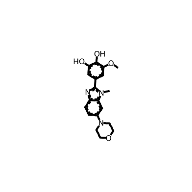 COc1cc(-c2nc3ccc(N4CCOCC4)cc3n2C)cc(O)c1O